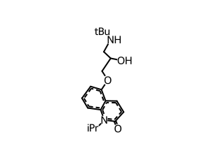 CC(C)n1c(=O)ccc2c(OCC(O)CNC(C)(C)C)cccc21